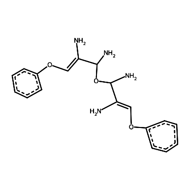 N/C(=C\Oc1ccccc1)C(N)OC(N)/C(N)=C/Oc1ccccc1